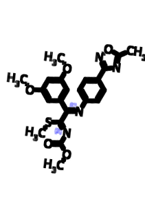 COC(=O)/N=C(SC)/C(=N/c1ccc(-c2noc(C)n2)cc1)c1cc(OC)cc(OC)c1